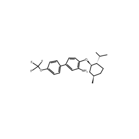 CC(C)[C@@H]1CC[C@@H](C)C[C@H]1Oc1ccc(-c2ccc(OC(F)(F)F)cc2)cc1N